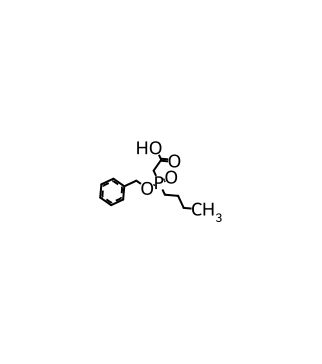 CCCCP(=O)(CC(=O)O)OCc1ccccc1